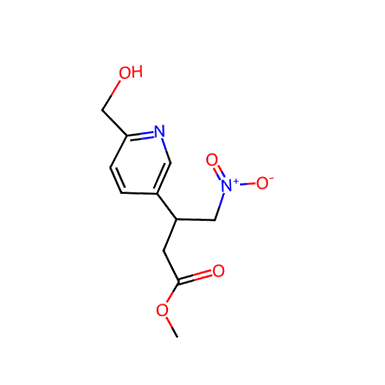 COC(=O)CC(C[N+](=O)[O-])c1ccc(CO)nc1